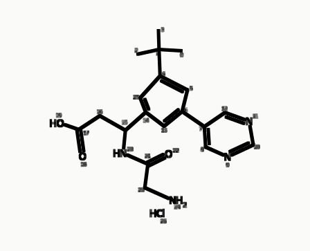 CC(C)(C)c1cc(-c2cncnc2)cc(C(CC(=O)O)NC(=O)CN)c1.Cl